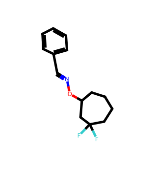 FC1(F)CCCCC(O/N=C/c2ccccc2)C1